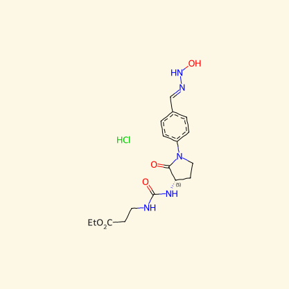 CCOC(=O)CCNC(=O)N[C@H]1CCN(c2ccc(C=NNO)cc2)C1=O.Cl